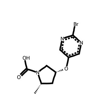 C[C@H]1C[C@@H](Oc2cnc(Br)nc2)CN1C(=O)O